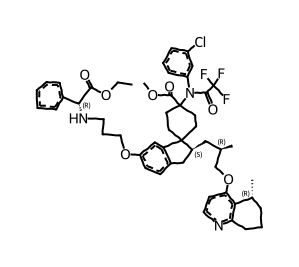 CCOC(=O)[C@H](NCCCOc1ccc2c(c1)C1(CCC(C(=O)OC)(N(C(=O)C(F)(F)F)c3cccc(Cl)c3)CC1)[C@@H](C[C@@H](C)COc1ccnc3c1[C@H](C)CCC3)C2)c1ccccc1